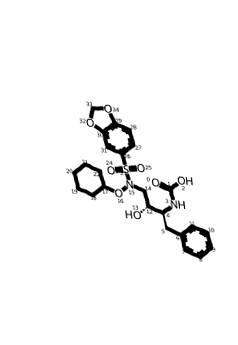 O=C(O)N[C@@H](Cc1ccccc1)[C@H](O)CN(OC1CCCCC1)S(=O)(=O)c1ccc2c(c1)OCO2